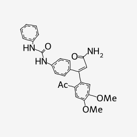 COc1cc(C(C)=O)c(C(=CC(N)=O)c2ccc(NC(=O)Nc3ccccc3)cc2)cc1OC